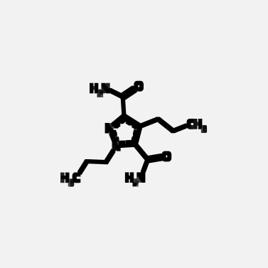 CCCc1c(C(N)=O)nn(CCC)c1C(N)=O